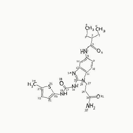 CCC(CC)C(=O)Nc1ccc2c(c1)nc(NC(=O)Nc1ccc(C)s1)n2CCC(N)=O